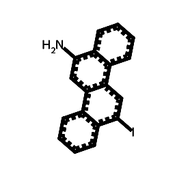 Nc1cc2c3ccccc3c(I)cc2c2ccccc12